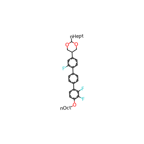 CCCCCCCCOc1ccc(-c2ccc(-c3ccc(C4COC(CCCCCCC)OC4)cc3F)cc2)c(F)c1F